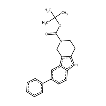 CC(C)(C)OC(=O)N1CCc2[nH]c3ccc(-c4ccccc4)cc3c2C1